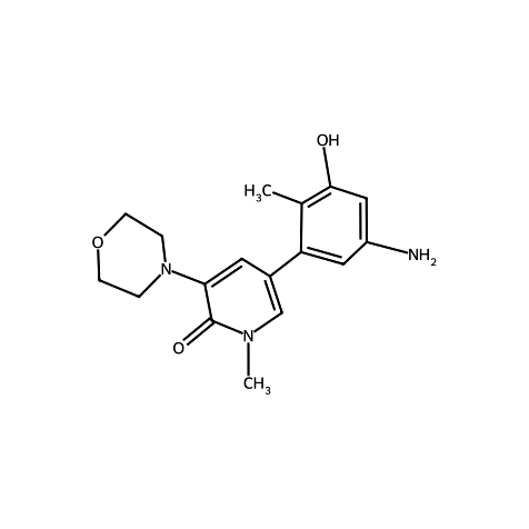 Cc1c(O)cc(N)cc1-c1cc(N2CCOCC2)c(=O)n(C)c1